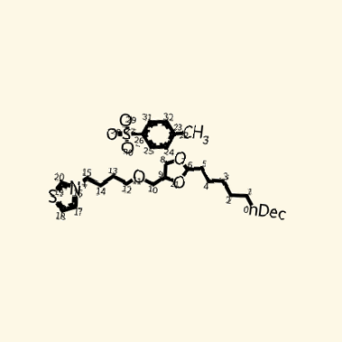 CCCCCCCCCCCCCCCC1OCC(COCCCC[n+]2ccsc2)O1.Cc1ccc(S(=O)(=O)[O-])cc1